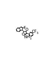 NC1=C(c2cccc(C(F)(F)F)c2)C(=O)C(C2C(F)=Cc3ccccc32)O1